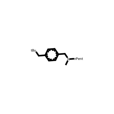 CCCCCN(C)Cc1ccc(CC(C)(C)C)cc1